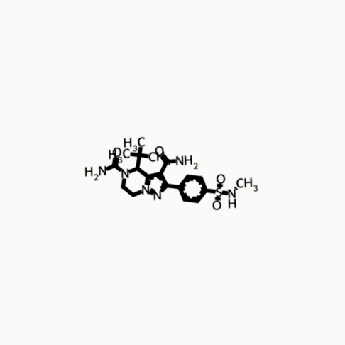 CNS(=O)(=O)c1ccc(-c2nn3c(c2C(N)=O)C(C(C)(C)C)N(C(N)=O)CC3)cc1